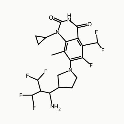 Cc1c(N2CCC(C(N)C(C(F)F)C(F)F)C2)c(F)c(C(F)F)c2c(=O)[nH]c(=O)n(C3CC3)c12